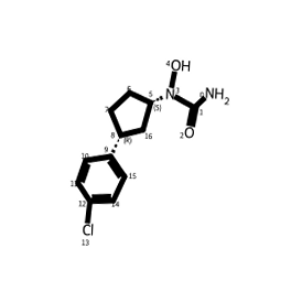 NC(=O)N(O)[C@H]1CC[C@@H](c2ccc(Cl)cc2)C1